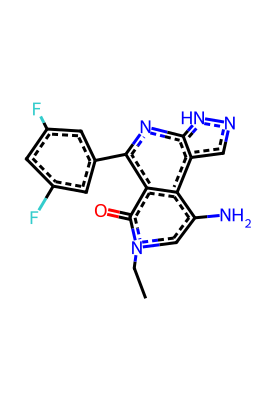 CCn1cc(N)c2c(c(-c3cc(F)cc(F)c3)nc3[nH]ncc32)c1=O